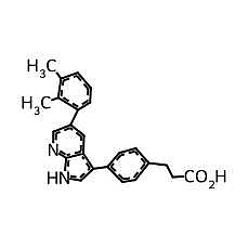 Cc1cccc(-c2cnc3[nH]cc(-c4ccc(CCC(=O)O)cc4)c3c2)c1C